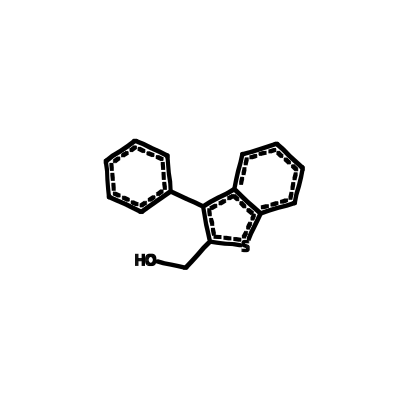 OCc1sc2ccccc2c1-c1ccccc1